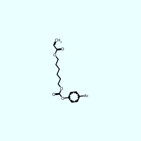 C=CC(=O)OCCCCCCOC(=O)Oc1ccc(C(C)=O)cc1